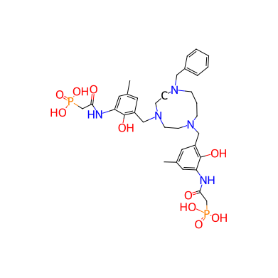 Cc1cc(CN2CCCN(Cc3ccccc3)CCN(Cc3cc(C)cc(NC(=O)CP(=O)(O)O)c3O)CC2)c(O)c(NC(=O)CP(=O)(O)O)c1